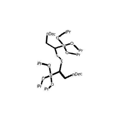 CCCCCCCCCCCC(SSC(CCCCCCCCCCC)[Si](OC(C)C)(OC(C)C)OC(C)C)[Si](OC(C)C)(OC(C)C)OC(C)C